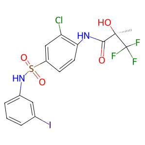 C[C@@](O)(C(=O)Nc1ccc(S(=O)(=O)Nc2cccc(I)c2)cc1Cl)C(F)(F)F